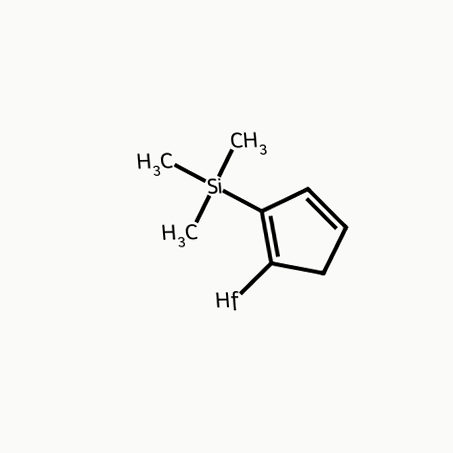 C[Si](C)(C)C1=[C]([Hf])CC=C1